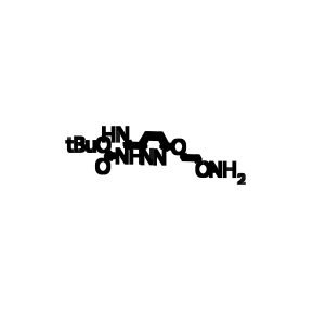 CC(C)(C)OC(=O)NC(=N)c1ccc(OCCON)nn1